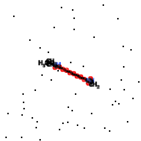 C=C1C=CC(=O)N1C(=O)NCCOCCOCCOCCOCCOCCOCCOCCOCCC(=O)NCCCCC(C)(C)C